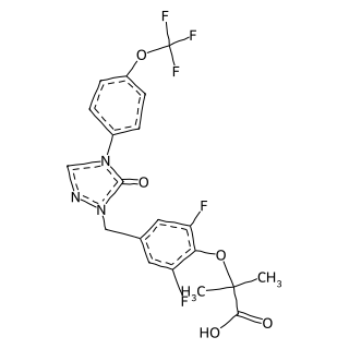 CC(C)(Oc1c(F)cc(Cn2ncn(-c3ccc(OC(F)(F)F)cc3)c2=O)cc1F)C(=O)O